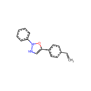 C=Cc1ccc(C2=CNN(c3ccccc3)O2)cc1